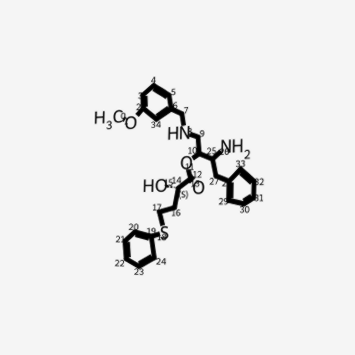 COc1cccc(CNCC(OC(=O)[C@@H](O)CCSc2ccccc2)C(N)Cc2ccccc2)c1